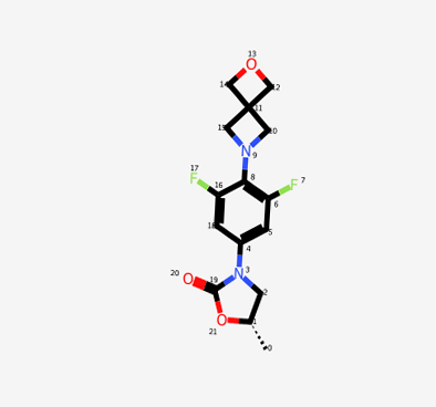 C[C@H]1CN(c2cc(F)c(N3CC4(COC4)C3)c(F)c2)C(=O)O1